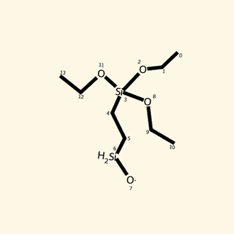 CCO[Si](CC[SiH2][O])(OCC)OCC